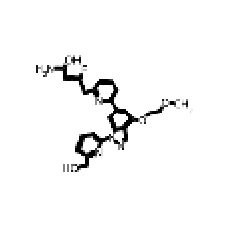 COCCOc1cc(-c2cccc(CC(F)CC(N)O)n2)cc2c1cnn2-c1cccc(CO)n1